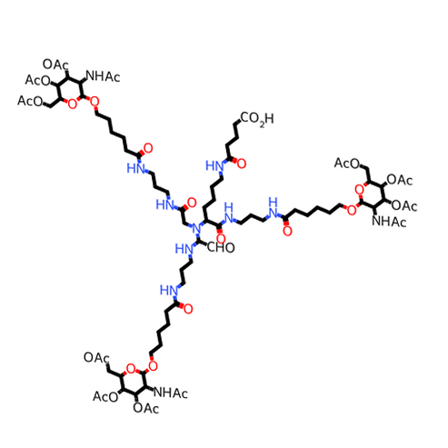 CC(=O)NC1C(OCCCCCC(=O)NCCCNC(=O)CN(C(C=O)NCCCNC(=O)CCCCCOC2OC(COC(C)=O)C(OC(C)=O)C(OC(C)=O)C2NC(C)=O)C(CCCCNC(=O)CCCC(=O)O)C(=O)NCCCNC(=O)CCCCCOC2OC(COC(C)=O)C(OC(C)=O)C(OC(C)=O)C2NC(C)=O)OC(COC(C)=O)C(OC(C)=O)C1OC(C)=O